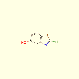 Oc1ccc2sc(Cl)nc2c1